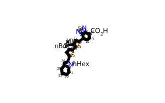 CCCCCCn1c(-c2cc3c(s2)-c2sc(-c4ccc(C(=O)O)c5nsnc45)cc2[Si]3(CCCC)CCCC)cc2ccccc21